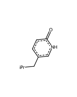 CC(C)Cc1ccc(=O)[nH]c1